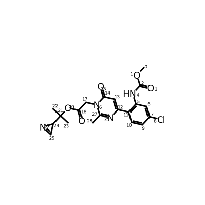 COC(=O)Nc1cc(Cl)ccc1-c1cc(=O)n(CC(=O)OC(C)(C)C2C=N2)c(C)n1